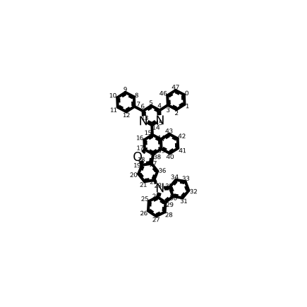 c1ccc(-c2cc(-c3ccccc3)nc(-c3cc4oc5ccc(-n6c7ccccc7c7ccccc76)cc5c4c4ccccc34)n2)cc1